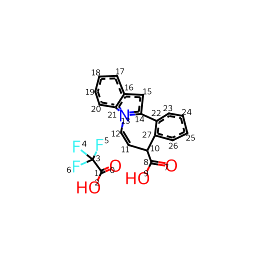 O=C(O)C(F)(F)F.O=C(O)C1C=Cn2c(cc3ccccc32)-c2ccccc21